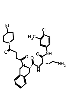 CCC1CCN(C(=O)CCC(=O)N2Cc3ccccc3C[C@H]2C(=O)N[C@@H](CCN)C(=O)Nc2ccc(Cl)c(C)c2)CC1